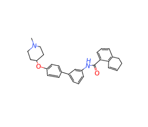 CN1CCC(Oc2ccc(-c3cccc(NC(=O)c4cccc5c4C=CCC5)c3)cc2)CC1